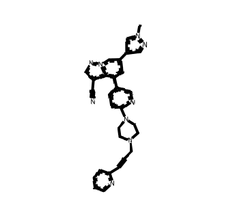 Cn1cc(-c2cc(-c3ccc(N4CCN(CC#Cc5ccccn5)CC4)nc3)c3c(C#N)cnn3c2)cn1